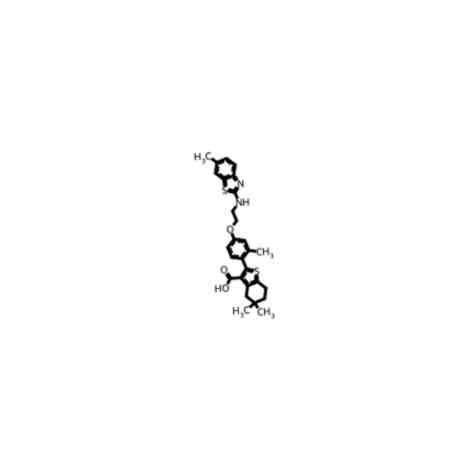 Cc1ccc2nc(NCCOc3ccc(-c4sc5c(c4C(=O)O)CC(C)(C)CC5)c(C)c3)sc2c1